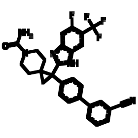 N#Cc1cccc(-c2ccc(C3(c4nc5cc(F)c(C(F)(F)F)cc5[nH]4)CC34CCN(C(N)=O)CC4)cc2)c1